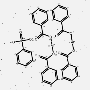 O=C([O][Al+][O]C(=O)c1ccccc1)c1ccccc1.O=C([O][Al+][O]C(=O)c1ccccc1)c1ccccc1.O=P([O-])([O-])c1ccccc1